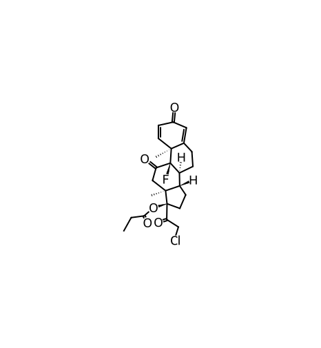 CCC(=O)O[C@]1(C(=O)CCl)CC[C@H]2[C@@H]3CCC4=CC(=O)C=C[C@]4(C)[C@@]3(F)C(=O)C[C@@]21C